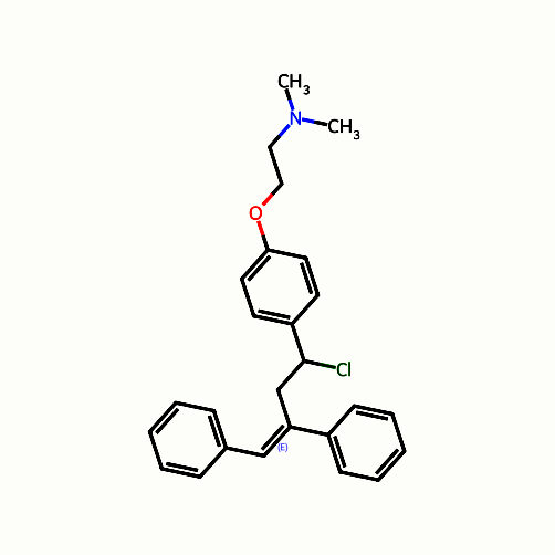 CN(C)CCOc1ccc(C(Cl)C/C(=C\c2ccccc2)c2ccccc2)cc1